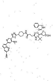 CNc1cc(-c2ccc3cc(C#N)cnn23)ncc1-c1nnc(C2CCC(NC(=O)CCC(=O)N[C@H](C(=O)N3C[C@H](O)C[C@H]3C(=O)N[C@@H](C)c3ccccc3)C(C)(C)C)CC2)s1